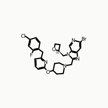 Fc1cc(Cl)ccc1Cc1cccc(OC2CCN(Cc3nc4cc(Br)ncc4n3C[C@@H]3CCO3)CC2)n1